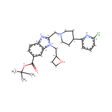 CC(C)(C)OC(=O)c1ccc2nc(CN3CCC(c4cccc(Cl)n4)CC3)n(CC3CCO3)c2c1